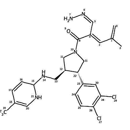 C=C(C)/C=C(\C=N/N)C(=O)N1C[C@H](CNC2C=CC(C(F)(F)F)=CN2)[C@@H](c2ccc(Cl)c(Cl)c2)C1